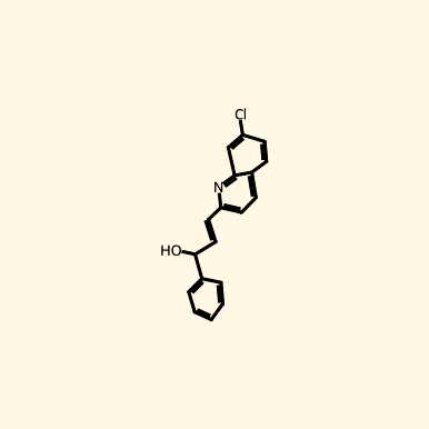 OC(/C=C/c1ccc2ccc(Cl)cc2n1)c1ccccc1